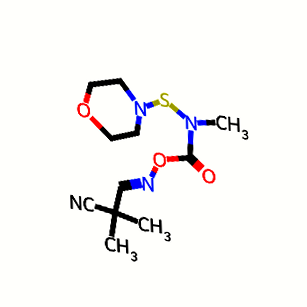 CN(SN1CCOCC1)C(=O)ON=CC(C)(C)C#N